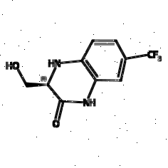 O=C1Nc2cc(C(F)(F)F)ccc2N[C@@H]1CO